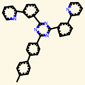 Cc1ccc(-c2ccc(-c3nc(-c4cccc(-c5ccccn5)c4)nc(-c4cccc(-c5ccccn5)c4)n3)cc2)cc1